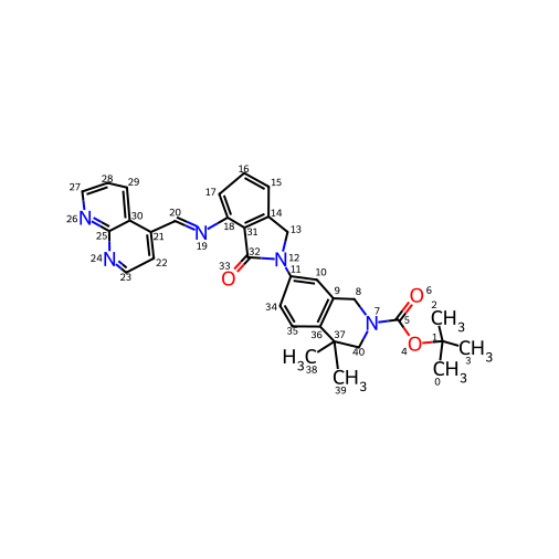 CC(C)(C)OC(=O)N1Cc2cc(N3Cc4cccc(/N=C/c5ccnc6ncccc56)c4C3=O)ccc2C(C)(C)C1